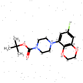 CC(C)(C)OC(=O)N1CCN(c2cc(F)cc3c2OCCO3)CC1